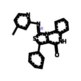 Cc1ccnc(/N=c2\sc(-c3ccccc3)c3c(=O)[nH]c4ccccc4n23)c1